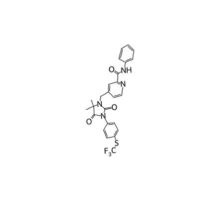 CC1(C)C(=O)N(c2ccc(SC(F)(F)F)cc2)C(=O)N1Cc1ccnc(C(=O)Nc2ccccc2)c1